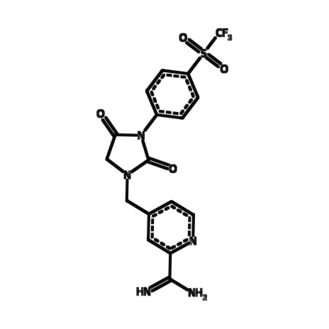 N=C(N)c1cc(CN2CC(=O)N(c3ccc(S(=O)(=O)C(F)(F)F)cc3)C2=O)ccn1